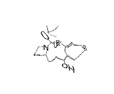 CC(C)(C)OC(=O)N1CCCC1CCC(O)c1ccccc1Br